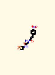 O=C(/C=C/c1ccc([N+](=O)[O-])cc1)NCC(=O)NC1CCS(=O)(=O)C1